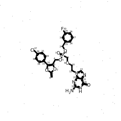 C=C1OC(COP(=O)(COCCn2cnc3c(=O)[nH]c(N)nc32)OCc2cccc(F)c2)=C(c2ccc(Cl)cc2)O1